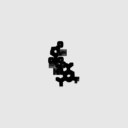 CC(C)c1cc(F)cc(C(C)C)c1NC(=O)NS(=O)(=O)C1CCC(=O)N1